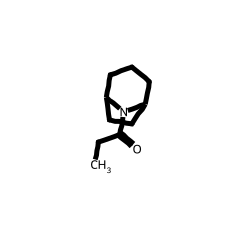 CCC(=O)N1C2CCCC1CC2